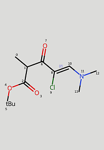 CC(C(=O)OC(C)(C)C)C(=O)/C(Cl)=C/N(C)C